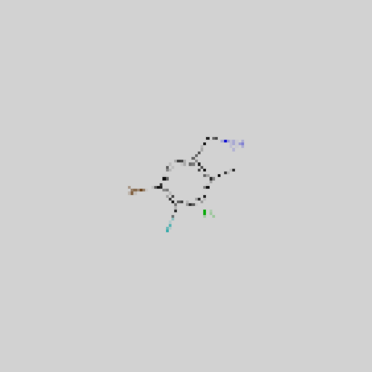 Cl.Fc1cc2c(cc1Br)CNC2